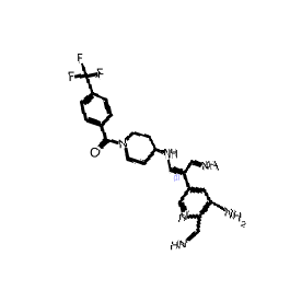 N=C/C(=C\NC1CCN(C(=O)c2ccc(C(F)(F)F)cc2)CC1)c1cnc(C=N)c(N)c1